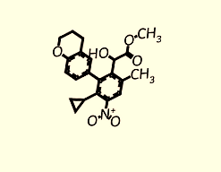 COC(=O)C(O)c1c(C)cc([N+](=O)[O-])c(C2CC2)c1-c1ccc2c(c1)CCCO2